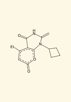 C=C1NC(=O)c2c(CC)cc(=O)oc2N1C1CCC1